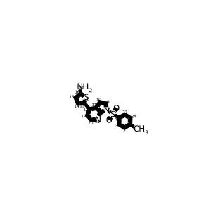 Cc1ccc(S(=O)(=O)n2ccc3c(-c4ccc(N)s4)ccnc32)cc1